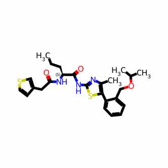 CCC[C@H](NC(=O)Cc1ccsc1)C(=O)Nc1nc(C)c(-c2ccccc2COC(C)C)s1